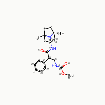 CN1[C@@H]2CC[C@H]1C[C@@H](NC(=O)C(CNC(=O)OC(C)(C)C)c1ccccc1)C2